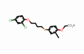 Cc1cc(SCCCCOc2ccc(Cl)cc2Cl)ccc1OCC(=O)O